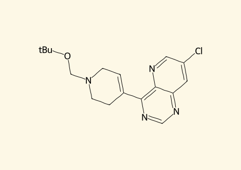 CC(C)(C)OCN1CC=C(c2ncnc3cc(Cl)cnc23)CC1